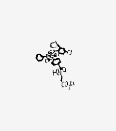 CCOC(=O)CCNC(=O)c1ccc(S(=O)(=O)N(Oc2ccc(Cl)cc2Cl)c2ccccc2)cc1